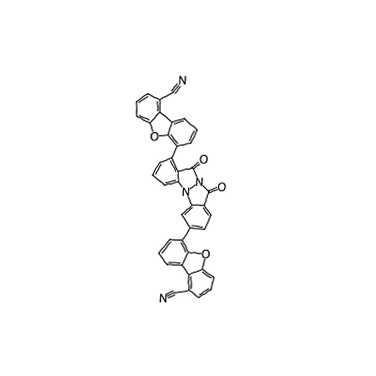 N#Cc1cccc2oc3c(-c4ccc5c(=O)n6c(=O)c7c(-c8cccc9c8oc8cccc(C#N)c89)cccc7n6c5c4)cccc3c12